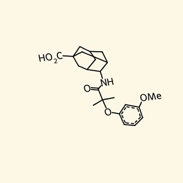 COc1cccc(OC(C)(C)C(=O)NC2C3CC4CC2CC(C(=O)O)(C4)C3)c1